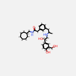 CC(Cc1cccc(CC(=O)NCC2CCCCCC2)c1)NC[C@@H](O)c1ccc(O)c(CO)c1